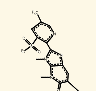 CCS(=O)(=O)c1cc(C(F)(F)F)cnc1-c1nc2cc(C)c(=O)n(C)c2n1C